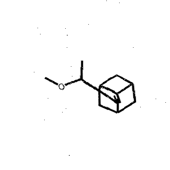 COC(C)C1=C2C3CC(C1)CC2C3